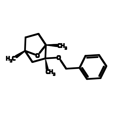 C[C@@]12CC[C@@](C)(O1)[C@@](C)(OCc1ccccc1)C2